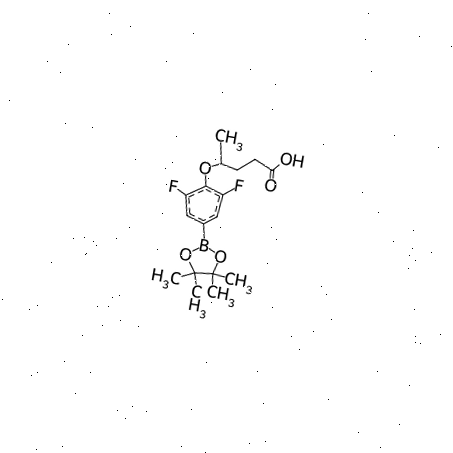 CC(CCC(=O)O)Oc1c(F)cc(B2OC(C)(C)C(C)(C)O2)cc1F